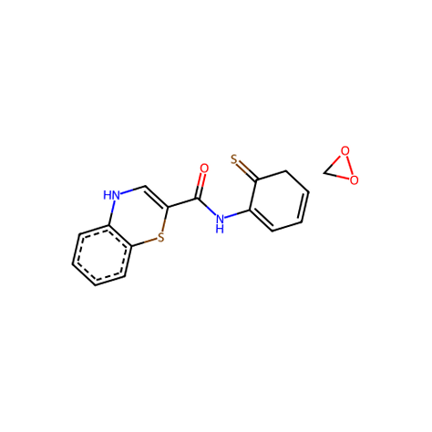 C1OO1.O=C(NC1=CC=CCC1=S)C1=CNc2ccccc2S1